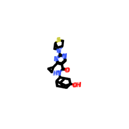 O=C(NC1C2CC3CC1CC(O)(C3)C2)c1cnc(N2CC3CC2CS3)nc1C1CC1